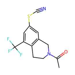 CC(=O)N1CCc2c(cc(SC#N)cc2C(F)(F)F)C1